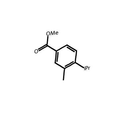 COC(=O)c1ccc(C(C)C)c(C)c1